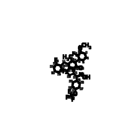 COc1cccc(-c2c(C)c(Cc3c(F)cccc3F)c3n(c2=O)C(C(=NO)c2ccc(OC(F)(F)F)cc2)CS3)c1F